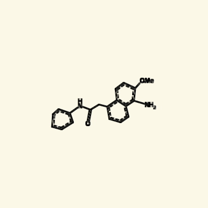 COc1ccc2c(CC(=O)Nc3ccccc3)cccc2c1N